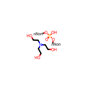 CCCCCCCCCOP(=O)(O)OCCCCCCCCC.OCCN(CCO)CCO